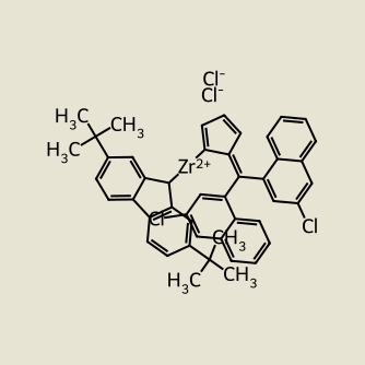 CC(C)(C)c1ccc2c(c1)[CH]([Zr+2][C]1=CC=CC1=C(c1cc(Cl)cc3ccccc13)c1cc(Cl)cc3ccccc13)c1cc(C(C)(C)C)ccc1-2.[Cl-].[Cl-]